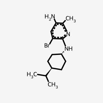 Cc1nc(N[C@H]2CC[C@H](C(C)C)CC2)c(Br)cc1N